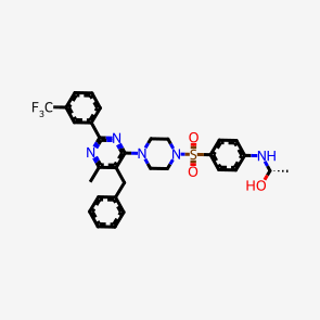 Cc1nc(-c2cccc(C(F)(F)F)c2)nc(N2CCN(S(=O)(=O)c3ccc(N[C@H](C)O)cc3)CC2)c1Cc1ccccc1